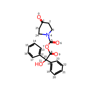 O=C1CCN(C(=O)OC(=O)C(O)(c2ccccc2)c2ccccc2)CC1